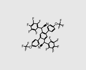 N#CC(c1cc(-c2ccc(OC(F)(F)F)cc2)c(C(C#N)c2c(F)c(F)c(F)c(F)c2F)cc1-c1ccc(OC(F)(F)F)cc1)c1c(F)c(F)c(F)c(F)c1F